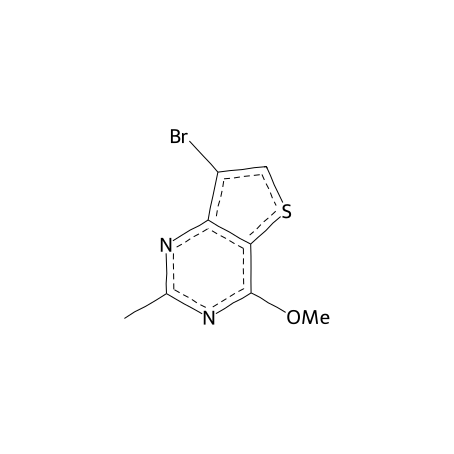 COc1nc(C)nc2c(Br)csc12